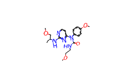 COCCNC(=O)N(c1ccc(OC)cc1)c1ccnc(NC(C)COC)n1